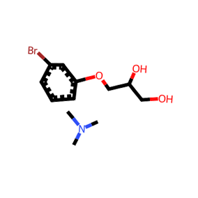 CN(C)C.OCC(O)COc1cccc(Br)c1